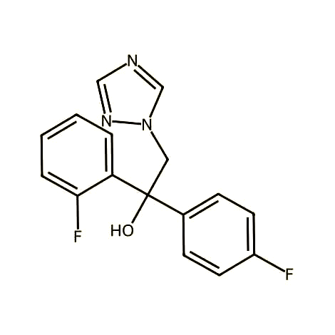 OC(Cn1cncn1)(c1ccc(F)cc1)c1ccccc1F